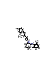 CN1CCN(CC(O)CO/N=C2\CCCC\C2=C/c2c(Cl)cccc2Cl)CC1